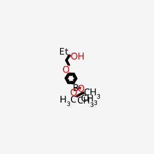 CCC(O)CCOc1ccc(B2OC(C)(C)C(C)(C)O2)cc1